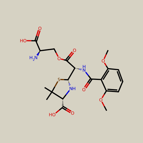 COc1cccc(OC)c1C(=O)N[C@@H](C(=O)OC[C@@H](N)C(=O)O)[C@@H]1N[C@H](C(=O)O)C(C)(C)S1